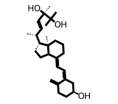 C=C1CC[C@H](O)C/C1=C/C=C1\CCC[C@@]2(C)C1CC[C@@H]2[C@H](C)/C=C/[C@@](C)(O)C(C)(C)O